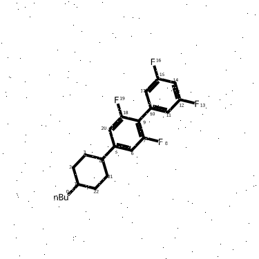 CCCCC1CCC(c2cc(F)c(-c3cc(F)cc(F)c3)c(F)c2)CC1